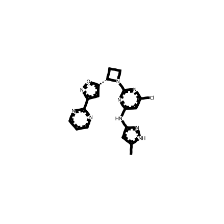 Cc1cc(Nc2cc(Cl)nc(N3CC[C@H]3c3cc(-c4ncccn4)no3)n2)n[nH]1